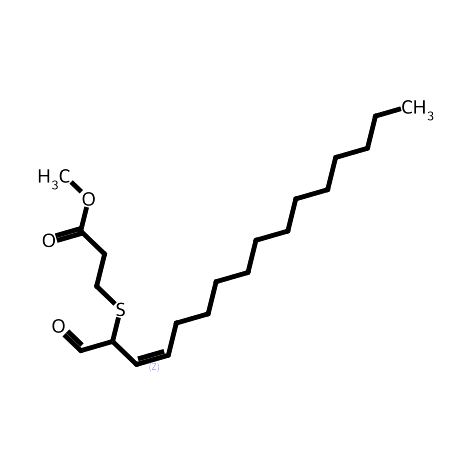 CCCCCCCCCCCC/C=C\C(C=O)SCCC(=O)OC